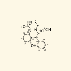 Cl.Cl.O=C1NCCN2CC(c3ccccc3)c3c(O)cccc3C12